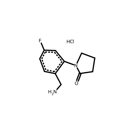 Cl.NCc1ccc(F)cc1N1CCCC1=O